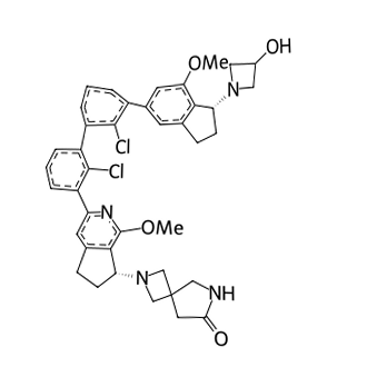 COc1cc(-c2cccc(-c3cccc(-c4cc5c(c(OC)n4)[C@H](N4CC6(CNC(=O)C6)C4)CC5)c3Cl)c2Cl)cc2c1[C@H](N1CC(O)C1)CC2